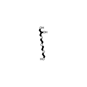 OCCOCCOCCSCC(O)CO